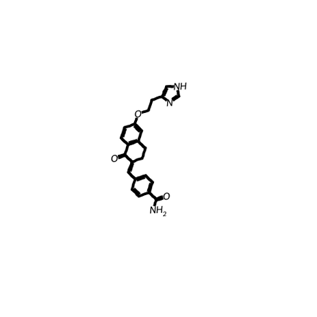 NC(=O)c1ccc(/C=C2\CCc3cc(OCCc4c[nH]cn4)ccc3C2=O)cc1